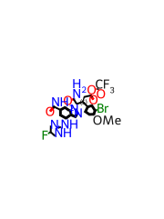 COc1ccc([C@H](CC(=O)OC(=O)C(F)(F)F)C(C(N)=O)n2ncc3c(NC4=NCC(F)CN4)cc(C(N)=O)cc32)cc1Br